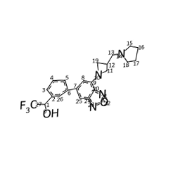 OC(c1cccc(-c2cc(N3CC(CN4CCCC4)C3)c3nonc3c2)c1)C(F)(F)F